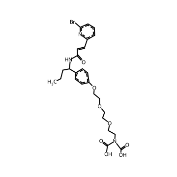 CCCC(NC(=O)C=Cc1cccc(Br)n1)c1ccc(OCCOCCOCCN(C(=O)O)C(=O)O)cc1